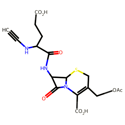 C#CNC(CCC(=O)O)C(=O)NC1C(=O)N2C(C(=O)O)=C(COC(C)=O)CSC12